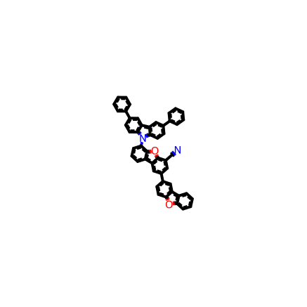 N#Cc1cc(-c2ccc3oc4ccccc4c3c2)cc2c1oc1c(-n3c4ccc(-c5ccccc5)cc4c4cc(-c5ccccc5)ccc43)cccc12